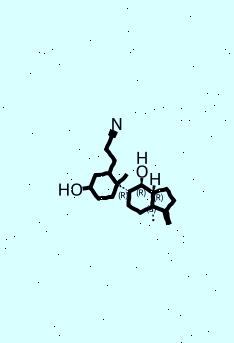 C=C1CC[C@H]2[C@H](O)[C@@H](C3(C)CCC(O)CC3CCC#N)CC[C@]12C